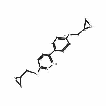 c1cc(-c2ccc(OCC3CO3)nn2)ccc1OCC1CO1